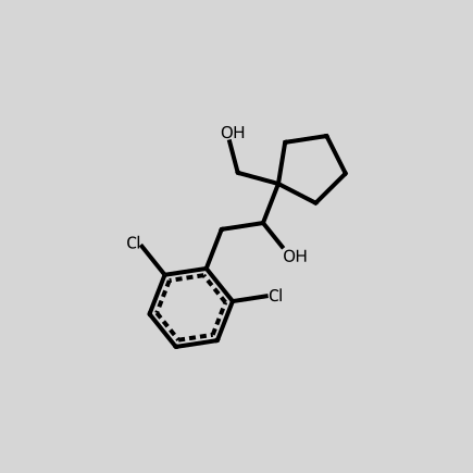 OCC1(C(O)Cc2c(Cl)cccc2Cl)CCCC1